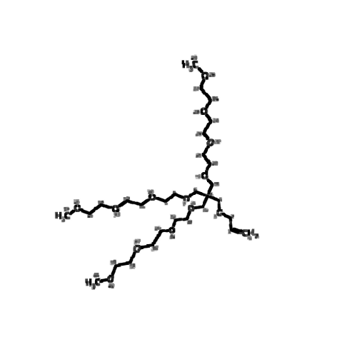 C=CCOCC(COCCOCCOCCOC)(COCCOCCOCCOC)COCCOCCOCCOC